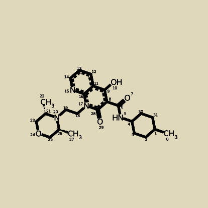 CC1CCC(NC(=O)c2c(O)c3cccnc3n(CCN3[C@@H](C)COC[C@@H]3C)c2=O)CC1